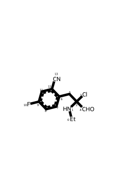 CCNC(Cl)(C=O)Cc1c[c]c(F)cc1C#N